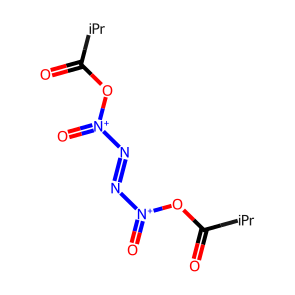 CC(C)C(=O)O[N+](=O)N=N[N+](=O)OC(=O)C(C)C